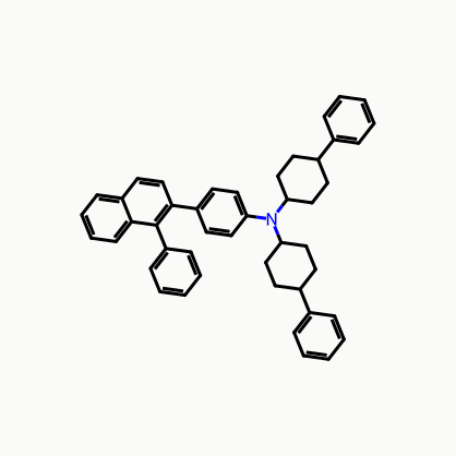 c1ccc(-c2c(-c3ccc(N(C4CCC(c5ccccc5)CC4)C4CCC(c5ccccc5)CC4)cc3)ccc3ccccc23)cc1